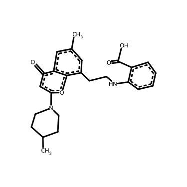 Cc1cc(CCNc2ccccc2C(=O)O)c2oc(N3CCC(C)CC3)cc(=O)c2c1